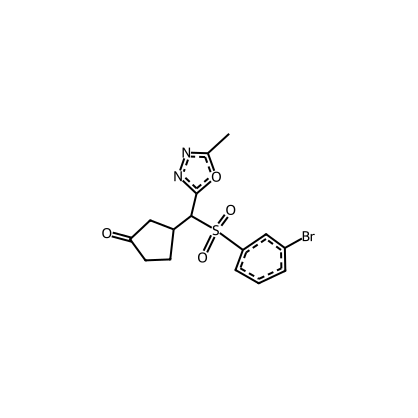 Cc1nnc(C(C2CCC(=O)C2)S(=O)(=O)c2cccc(Br)c2)o1